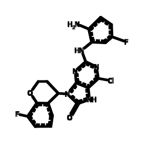 Nc1ccc(F)cc1Nc1nc(Cl)c2[nH]c(=O)n(C3CCOc4c(F)cccc43)c2n1